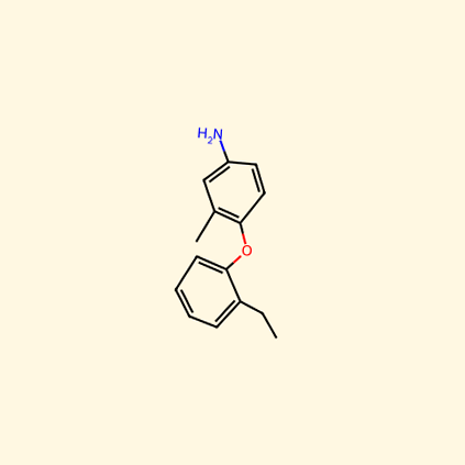 CCc1ccccc1Oc1ccc(N)cc1C